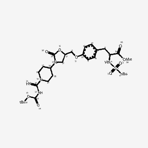 CCCCS(=O)(=O)NC(Cc1ccc(OCC2CN(C3CCN(C(=N)NC(=O)OC(C)(C)C)CC3)C(=O)O2)cc1)C(=O)OC